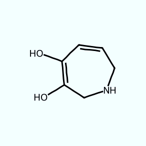 OC1=C(O)CNCC=C1